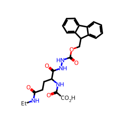 CCNC(=O)CCC(NC(=O)C(=O)O)C(=O)NNC(=O)OCC1c2ccccc2-c2ccccc21